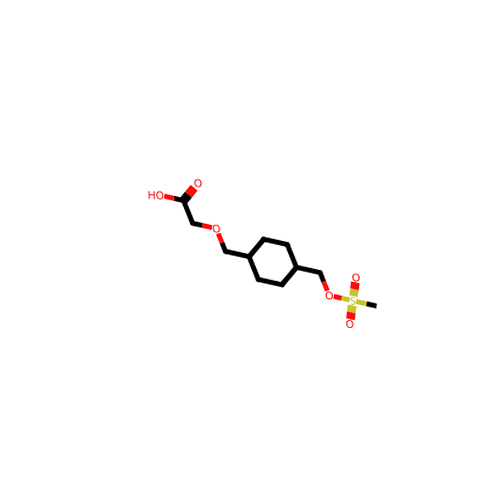 CS(=O)(=O)OCC1CCC(COCC(=O)O)CC1